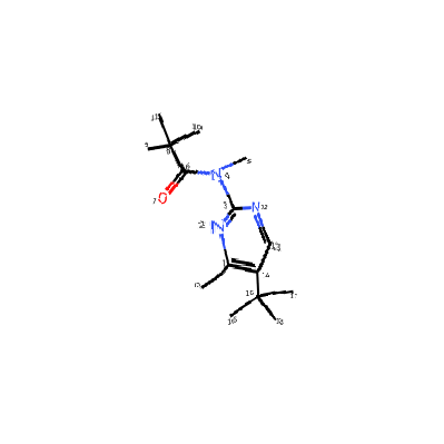 Cc1nc(N(C)C(=O)C(C)(C)C)ncc1C(C)(C)C